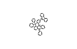 c1ccc(B2c3ccccc3N3c4cc(-n5c6ccccc6c6ccccc65)ccc4C(c4ccccc4)(c4ccccc4)c4cccc2c43)cc1